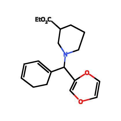 CCOC(=O)C1CCCN(C(C2=CC=CCC2)C2=COC=CO2)C1